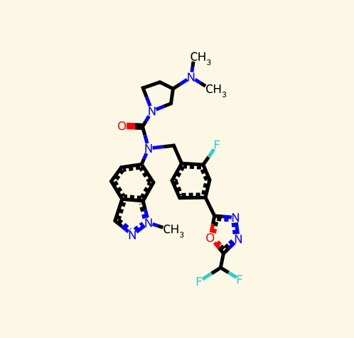 CN(C)C1CCN(C(=O)N(Cc2ccc(-c3nnc(C(F)F)o3)cc2F)c2ccc3cnn(C)c3c2)C1